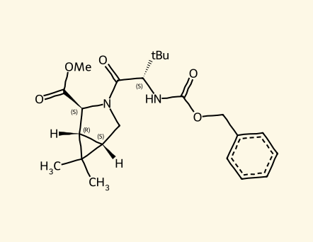 COC(=O)[C@@H]1[C@@H]2[C@H](CN1C(=O)[C@@H](NC(=O)OCc1ccccc1)C(C)(C)C)C2(C)C